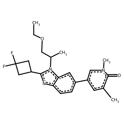 CCOCC(C)n1c(C2CC(F)(F)C2)nc2ccc(-c3cc(C)c(=O)n(C)c3)cc21